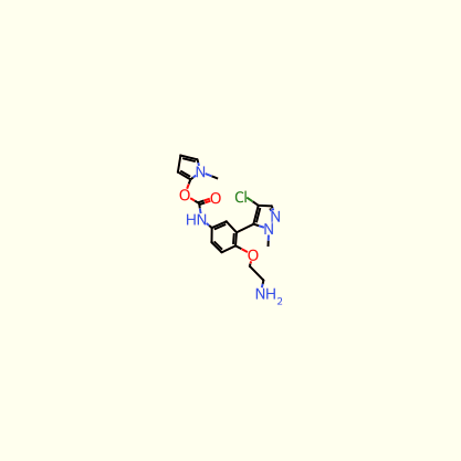 Cn1cccc1OC(=O)Nc1ccc(OCCN)c(-c2c(Cl)cnn2C)c1